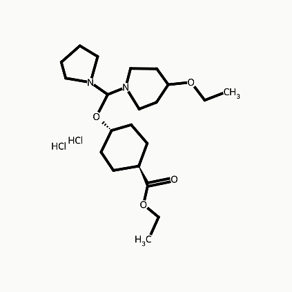 CCOC(=O)[C@H]1CC[C@H](OC(N2CCCC2)N2CCC(OCC)CC2)CC1.Cl.Cl